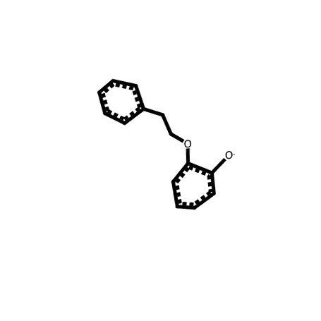 [O]c1ccccc1OCCc1ccccc1